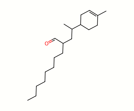 CCCCCCCCC(C=O)CC(C)C1CC=C(C)CC1